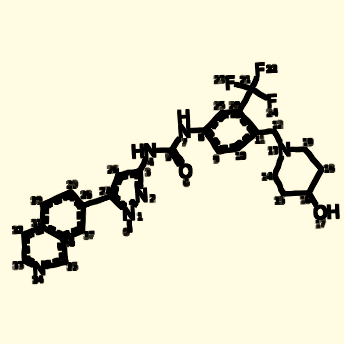 Cn1nc(NC(=O)Nc2ccc(CN3CCC(O)CC3)c(C(F)(F)F)c2)cc1-c1ccc2ccncc2c1